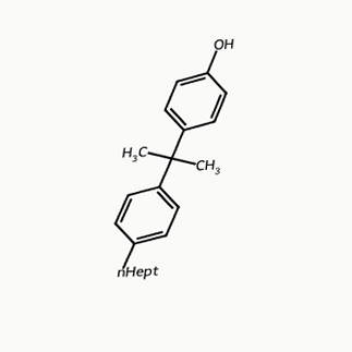 CCCCCCCc1ccc(C(C)(C)c2ccc(O)cc2)cc1